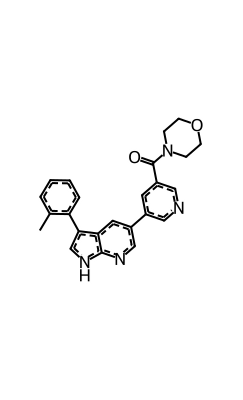 Cc1ccccc1-c1c[nH]c2ncc(-c3cncc(C(=O)N4CCOCC4)c3)cc12